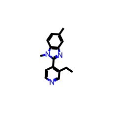 CCc1cnccc1-c1nc2cc(C)ccc2n1C